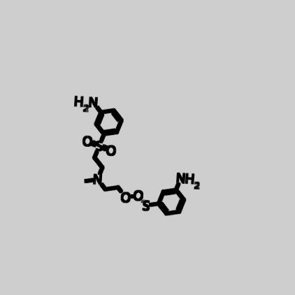 CN(CCOOSc1cccc(N)c1)CCS(=O)(=O)c1cccc(N)c1